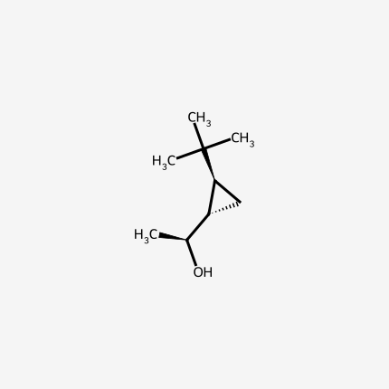 C[C@H](O)[C@H]1C[C@@H]1C(C)(C)C